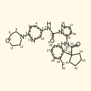 O=C(Nc1ccc(N2CCOCC2)nc1)n1nccc1NC(=O)C1(c2ccccc2F)CCCC1